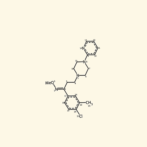 CO/N=C(\CCN1CCN(c2ccccn2)CC1)c1ccc(Cl)c(C)c1